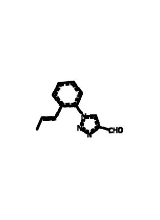 CC=Cc1ccccc1-n1cc(C=O)nn1